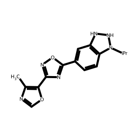 Cc1ncoc1-c1noc(-c2ccc3c(c2)NNN3C(C)C)n1